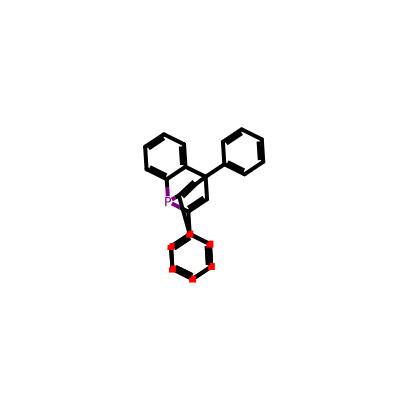 C1=C(c2ccccc2)P2C(c3ccccc3)=CC1(c1ccccc1)c1ccccc12